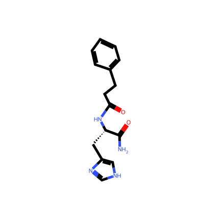 NC(=O)[C@H](Cc1c[nH]cn1)NC(=O)CCc1ccccc1